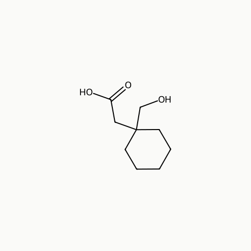 O=C(O)CC1(CO)CCCCC1